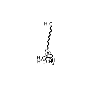 CCCCCCCCCCCCOC(=O)N[C@H](C(=O)O)C(C)(C)C